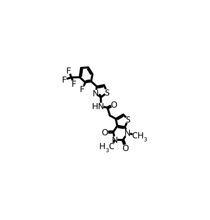 Cn1c(=O)c2c(CC(=O)Nc3nc(-c4cccc(C(F)(F)F)c4F)cs3)csc2n(C)c1=O